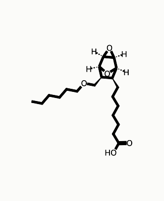 CCCCCCOC[C@@H]1[C@H](CCCCCCC(=O)O)[C@H]2O[C@@H]1[C@H]1O[C@H]12